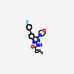 CC(=O)Nc1nc(N2CCOCC2)c2cc(-c3ccc(F)cc3)ccc2n1